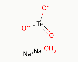 O.O=[Te]([O-])[O-].[Na+].[Na+]